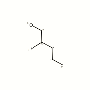 CCCC(F)C[O]